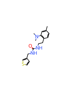 Cc1ccc(CCNC(=O)NCc2ccsc2)c(N(C)C)c1